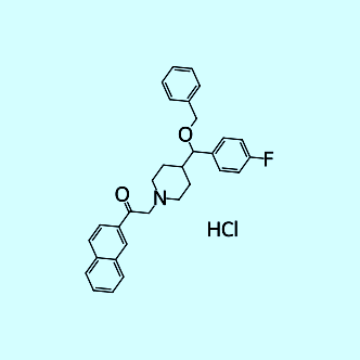 Cl.O=C(CN1CCC(C(OCc2ccccc2)c2ccc(F)cc2)CC1)c1ccc2ccccc2c1